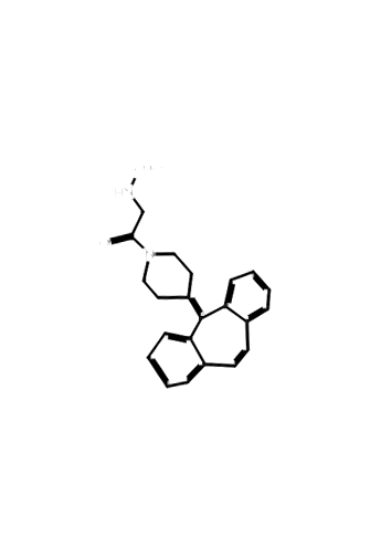 O=CNCC(=O)N1CCC(=C2c3ccccc3C=Cc3ccccc32)CC1